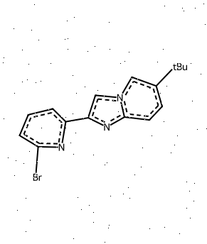 CC(C)(C)c1ccc2nc(-c3cccc(Br)n3)cn2c1